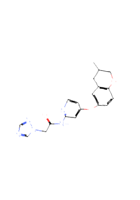 CC1COc2ccc(Oc3ccnc(NC(=O)Cn4cncn4)c3)cc2C1